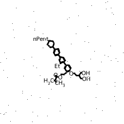 C=C(C)C(=O)OCCc1cc(-c2ccc(-c3ccc(C4CCC(CCCCC)CC4)cc3)cc2CC)ccc1OCCC(CO)CO